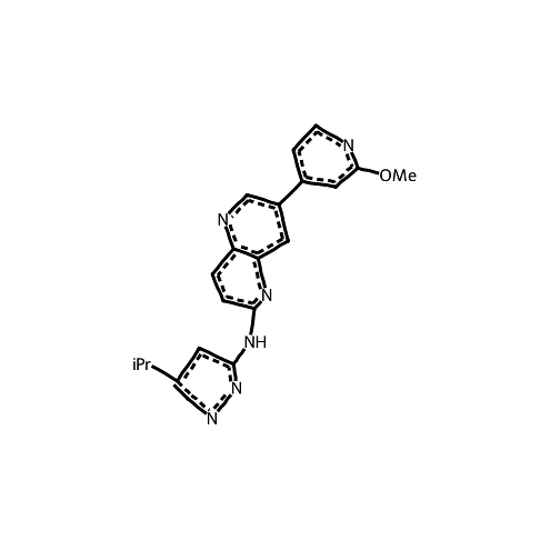 COc1cc(-c2cnc3ccc(Nc4cc(C(C)C)cnn4)nc3c2)ccn1